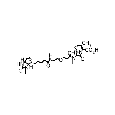 CC1=C(C(=O)O)N2C(=O)[C@H](NC(=O)CCOCCNC(=O)CCCC[C@@H]3SC[C@@H]4NC(=O)N[C@@H]43)[C@@H]2SC1